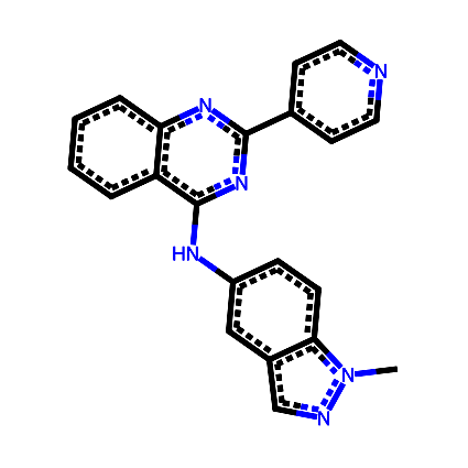 Cn1ncc2cc(Nc3nc(-c4ccncc4)nc4ccccc34)ccc21